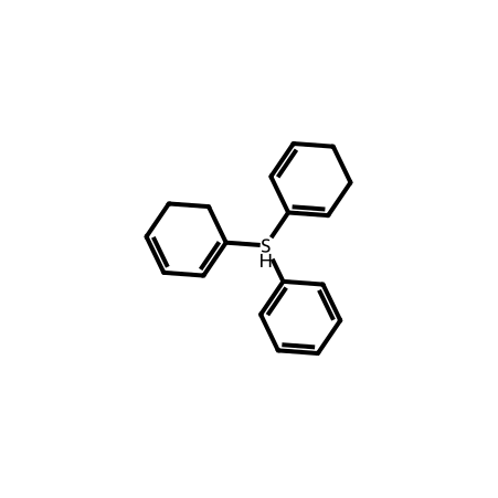 C1=CCCC([SH](C2=CCCC=C2)c2ccccc2)=C1